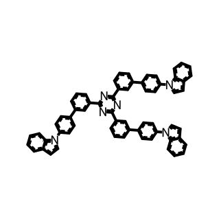 c1cc(-c2ccc(-n3ccc4ccccc43)cc2)cc(-c2nc(-c3cccc(-c4ccc(-n5ccc6ccccc65)cc4)c3)nc(-c3cccc(-c4ccc(-n5ccc6ccccc65)cc4)c3)n2)c1